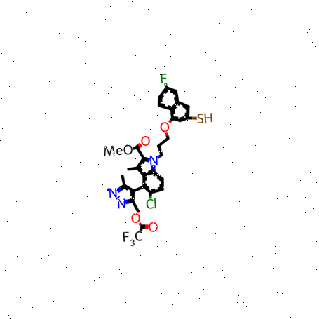 COC(=O)c1c(C)c2c(-c3c(COC(=O)C(F)(F)F)nn(C)c3C)c(Cl)ccc2n1CCCOc1cc(S)cc2cc(F)ccc12